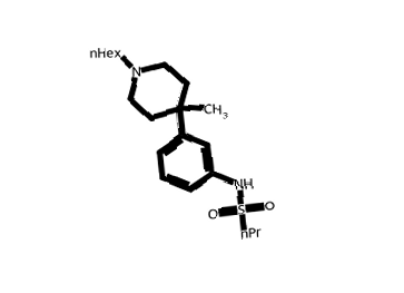 CCCCCCN1CCC(C)(c2cccc(NS(=O)(=O)CCC)c2)CC1